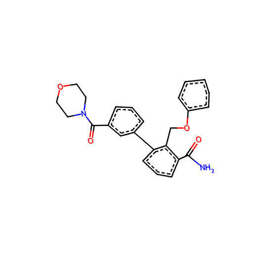 NC(=O)c1cccc(-c2cccc(C(=O)N3CCOCC3)c2)c1COc1ccccc1